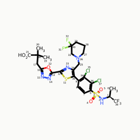 C[C@H](NS(=O)(=O)c1ccc(-c2sc(-c3nnc(CC(C)(C)C(=O)O)o3)nc2CN2CCCC(F)(F)C2)c(Cl)c1Cl)C(F)(F)F